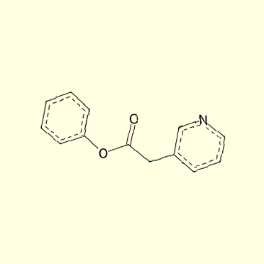 O=C(Cc1cccnc1)Oc1ccccc1